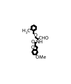 COc1ccc2oc(C(=O)N[C@H](C=O)COCc3ccccc3C)cc2c1